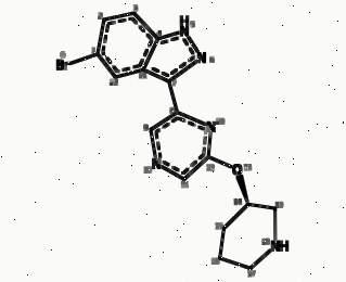 Brc1ccc2[nH]nc(-c3cncc(O[C@@H]4CCCNC4)n3)c2c1